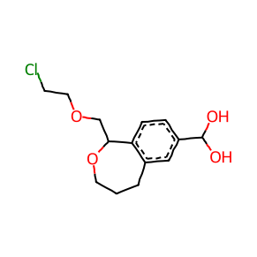 OC(O)c1ccc2c(c1)CCCOC2COCCCl